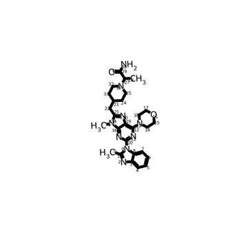 Cc1nc2ccccc2n1-c1nc(N2CCOCC2)c2nc(CC3CCN(C(C)C(N)=O)CC3)n(C)c2n1